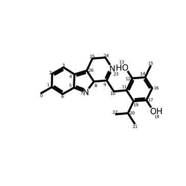 Cc1ccc2c(c1)=NC1C(Cc3c(O)c(C)cc(O)c3C(C)C)=NCCC=21